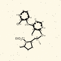 CCOC(=O)N1C(C)CCC1C[C@@H](C)Oc1ncnc(Oc2cccnc2Cl)c1C